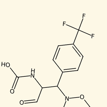 CON(C)C(c1ccc(C(F)(F)F)cc1)C(C=O)NC(=O)O